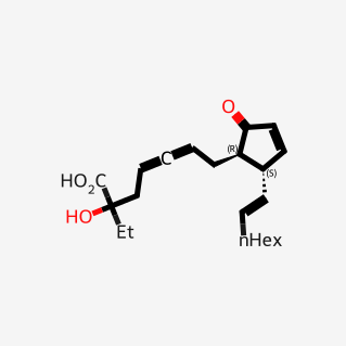 CCCCCCC=C[C@H]1C=CC(=O)[C@@H]1CC=C=CCC(O)(CC)C(=O)O